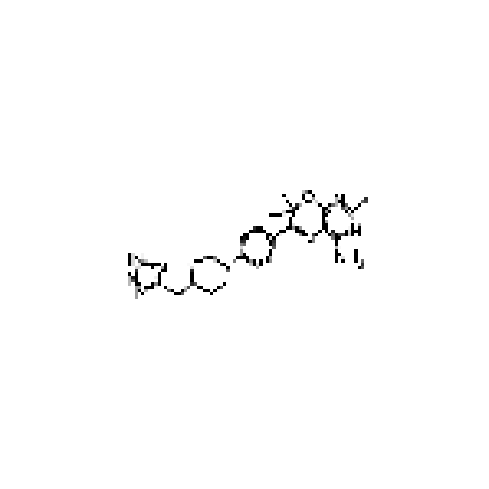 Cc1nc(N)c2c(n1)OC(C)(C)C(c1ccc([C@H]3CC[C@H](Cc4nn[nH]n4)CC3)cc1)=N2